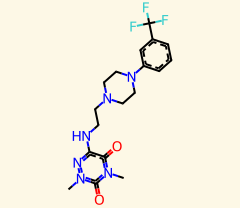 Cn1nc(NCCN2CCN(c3cccc(C(F)(F)F)c3)CC2)c(=O)n(C)c1=O